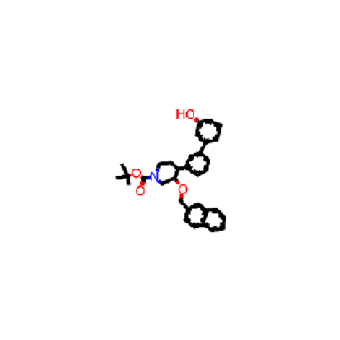 CC(C)(C)OC(=O)N1CCC(c2cccc(-c3cccc(O)c3)c2)C(OCc2ccc3ccccc3c2)C1